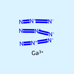 [Ga+3].[N-]=[N+]=[N-].[N-]=[N+]=[N-].[N-]=[N+]=[N-]